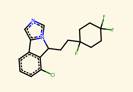 FC1(F)CCC(F)(CCC2c3c(Cl)cccc3-c3cncn32)CC1